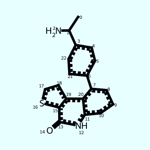 CC(N)c1ccc(-c2[c]ccc3[nH]c(=O)c4sccc4c23)cc1